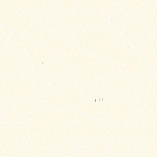 O=C(CC(=O)c1ccccc1)c1ccccc1.[InH3]